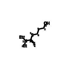 CCN(CC)C(=S)SCCCO